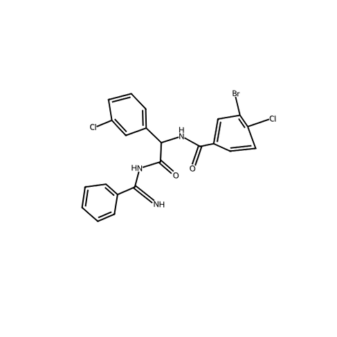 N=C(NC(=O)C(NC(=O)c1ccc(Cl)c(Br)c1)c1cccc(Cl)c1)c1ccccc1